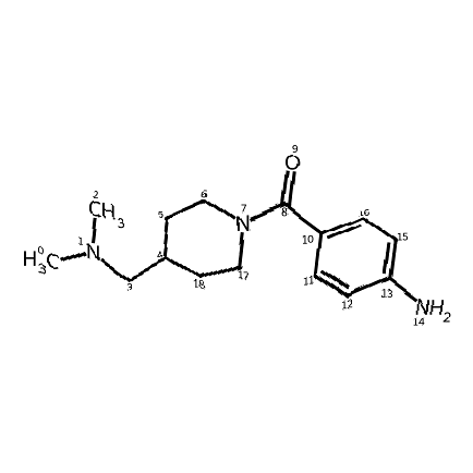 CN(C)CC1CCN(C(=O)c2ccc(N)cc2)CC1